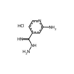 Cl.N=C(NN)c1ccnc(N)c1